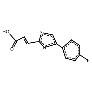 O=C(O)C=Cc1nc(-c2ccc(F)cc2)cs1